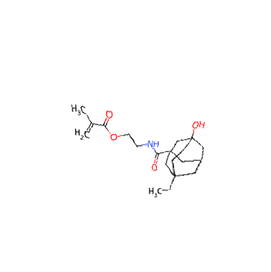 C=C(C)C(=O)OCCNC(=O)C12CC3CC(O)(CC(CC)(C3)C1)C2